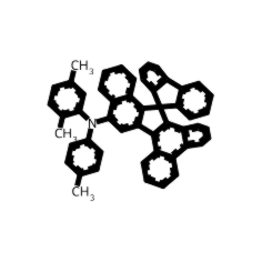 Cc1ccc(N(c2cc(C)ccc2C)c2cc3c(c4ccccc24)C2(c4ccccc4-c4ccccc42)c2c-3c3ccccc3c3ccccc23)cc1